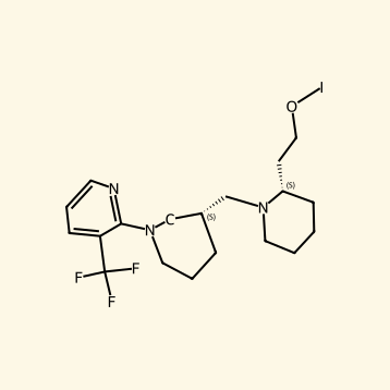 FC(F)(F)c1cccnc1N1CCC[C@@H](CN2CCCC[C@H]2CCOI)C1